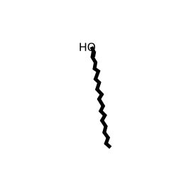 CCCCCCCCCCCCCCCCCC=CO